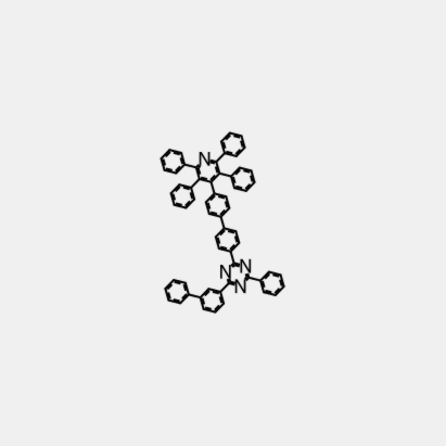 c1ccc(-c2cccc(-c3nc(-c4ccccc4)nc(-c4ccc(-c5ccc(-c6c(-c7ccccc7)c(-c7ccccc7)nc(-c7ccccc7)c6-c6ccccc6)cc5)cc4)n3)c2)cc1